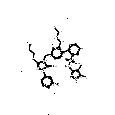 CCCCc1nn(-c2cccc(C)c2)c(=O)n1Cc1ccc(-c2ccccc2S(=O)(=O)Nc2noc(C)c2C)c(COCC)c1